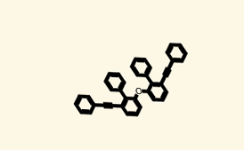 C(#Cc1cccc(Oc2cccc(C#Cc3ccccc3)c2-c2ccccc2)c1-c1ccccc1)c1ccccc1